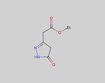 CCOC(=O)CC1=NNC(=O)C1